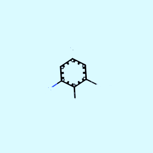 Nc1cccc(S(=O)(=O)O)c1S(=O)(=O)O.[NaH]